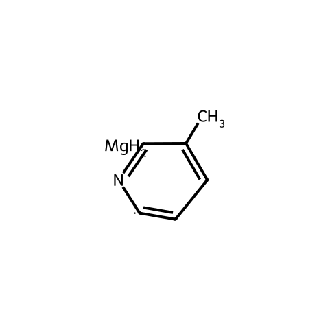 Cc1cc[c]nc1.[MgH2]